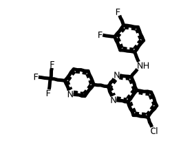 Fc1ccc(Nc2nc(-c3ccc(C(F)(F)F)nc3)nc3cc(Cl)ccc23)cc1F